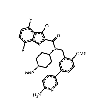 CN[C@H]1CC[C@@H](N(Cc2cc(-c3ccc(N)nc3)ccc2OC)C(=O)c2sc3c(F)ccc(F)c3c2Cl)CC1